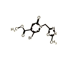 COC(=O)c1cc(=O)n(Cc2nnc(C)o2)cc1Br